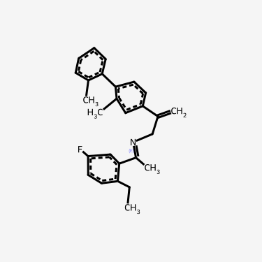 C=C(C/N=C(\C)c1cc(F)ccc1CC)c1ccc(-c2ccccc2C)c(C)c1